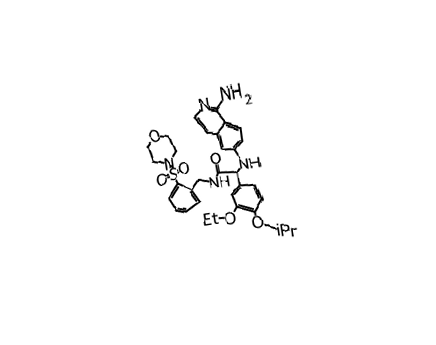 CCOc1cc(C(Nc2ccc3c(N)nccc3c2)C(=O)NCc2ccccc2S(=O)(=O)N2CCOCC2)ccc1OC(C)C